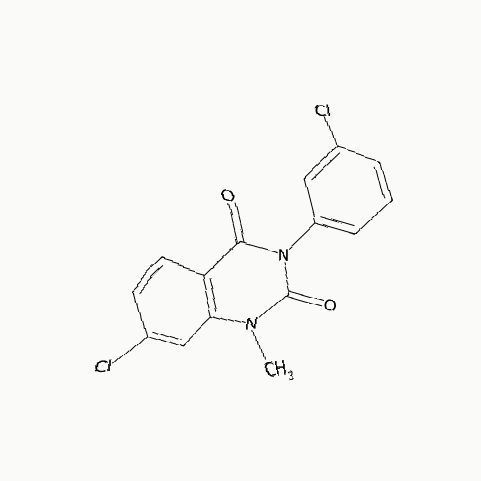 Cn1c(=O)n(-c2cccc(Cl)c2)c(=O)c2ccc(Cl)cc21